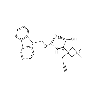 C#CCC1([C@@H](NC(=O)OCC2c3ccccc3-c3ccccc32)C(=O)O)C[N+](C)(C)C1